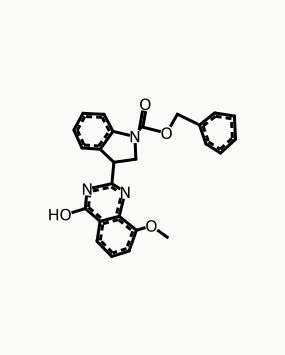 COc1cccc2c(O)nc(C3CN(C(=O)OCc4ccccc4)c4ccccc43)nc12